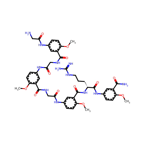 COc1ccc(NC(=O)[C@@H](CCCNC(=N)N)NC(=O)c2cc(NC(=O)CNC(=O)c3cc(NC(=O)CNC(=O)c4cc(NC(=O)CN)ccc4OC)ccc3OC)ccc2OC)cc1C(N)=O